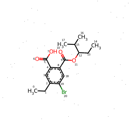 CCc1cc(C(=O)O)c(C(=O)OC(CC)C(C)C)cc1Br